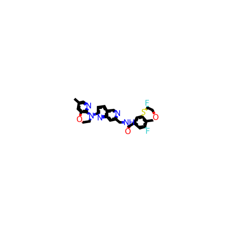 Cc1cnc2c(c1)OCCN2c1ccc2cnc(CNC(=O)c3cc(F)c4c(c3)SC(F)COC4)cc2n1